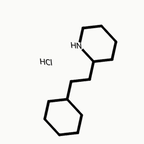 C1CCC(CCC2CCCCN2)CC1.Cl